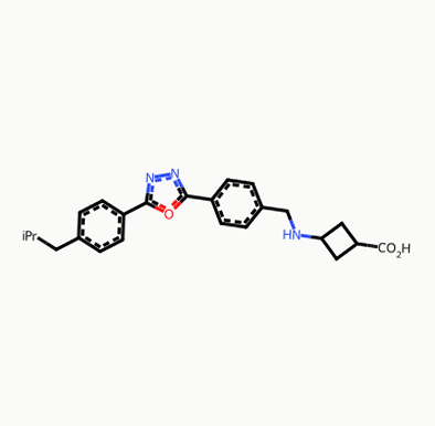 CC(C)Cc1ccc(-c2nnc(-c3ccc(CNC4CC(C(=O)O)C4)cc3)o2)cc1